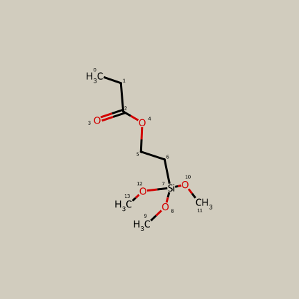 CCC(=O)OCC[Si](OC)(OC)OC